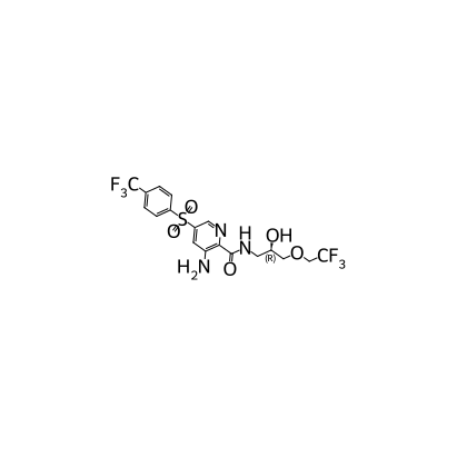 Nc1cc(S(=O)(=O)c2ccc(C(F)(F)F)cc2)cnc1C(=O)NC[C@@H](O)COCC(F)(F)F